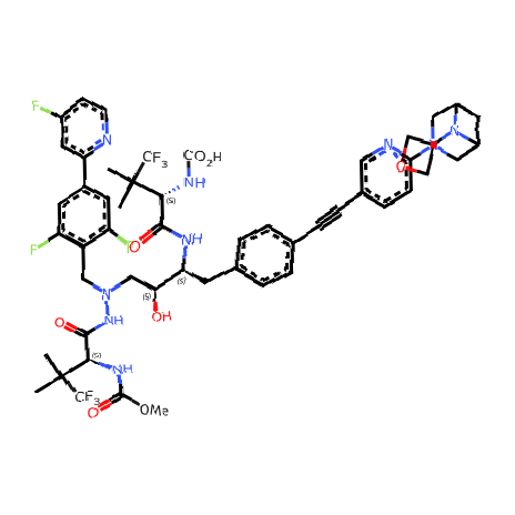 COC(=O)N[C@H](C(=O)NN(Cc1c(F)cc(-c2cc(F)ccn2)cc1F)C[C@H](O)[C@H](Cc1ccc(C#Cc2ccc(N3CC4CC(C3)N4C3COC3)nc2)cc1)NC(=O)[C@@H](NC(=O)O)C(C)(C)C(F)(F)F)C(C)(C)C(F)(F)F